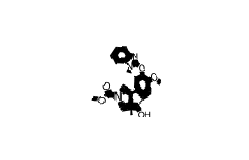 COC(=O)N1C[C@@H](c2ccc(OC)c(Oc3nc4ccccc4n3C)c2)[C@](C)([C@H](C)O)C1